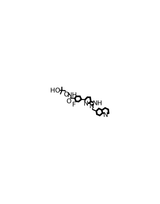 CC(C)(O)CONC(=O)c1ccc(-c2ccc3[nH]n(Cc4ccc5ncccc5c4)c3n2)cc1F